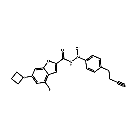 N#CCCc1ccc([S+]([O-])NC(=O)c2cc3c(F)cc(N4CCC4)cc3o2)cc1